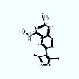 Cc1noc(C)c1-c1ccc2nc(N)nc(NN)c2c1